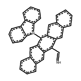 N=Cc1c2cc3ccccc3cc2c(-n2c3ccccc3c3ccccc32)c2cc3ccccc3cc12